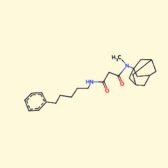 CN(C(=O)CC(=O)NCCCCCc1ccccc1)C12CC3CC(CC(C3)C1)C2